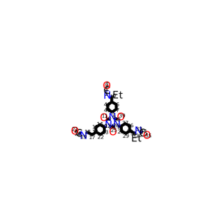 CCC(N=C=O)C1CCC(n2c(=O)n(C3CCC(CCN=C=O)CC3)c(=O)n(C3CCC(C(CC)N=C=O)CC3)c2=O)CC1